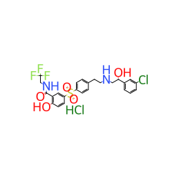 Cl.O=C(NCC(F)(F)F)c1cc(S(=O)(=O)c2ccc(CCNC[C@H](O)c3cccc(Cl)c3)cc2)ccc1O